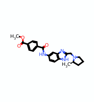 COC(=O)c1ccc(C(=O)Nc2ccc3[nH]c(CN4CCC[C@H]4C)nc3c2)cc1